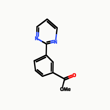 COC(=O)c1cccc(-c2ncccn2)c1